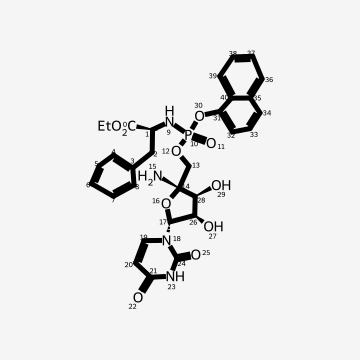 CCOC(=O)[C@H](Cc1ccccc1)NP(=O)(OC[C@@]1(N)O[C@@H](n2ccc(=O)[nH]c2=O)[C@H](O)[C@@H]1O)Oc1cccc2ccccc12